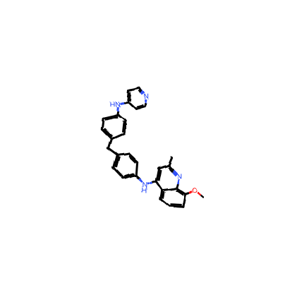 COc1cccc2c(Nc3ccc(Cc4ccc(Nc5ccncc5)cc4)cc3)cc(C)nc12